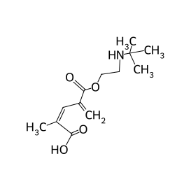 C=C(C=C(C)C(=O)O)C(=O)OCCNC(C)(C)C